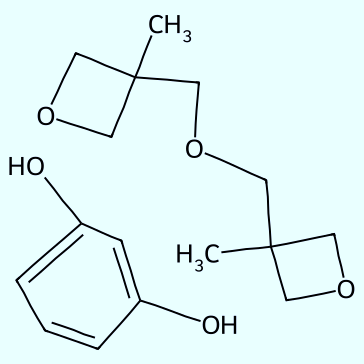 CC1(COCC2(C)COC2)COC1.Oc1cccc(O)c1